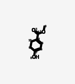 COC(=O)C1=CC=C(O)CC1